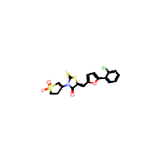 O=C1C(=Cc2ccc(-c3ccccc3Cl)o2)SC(=S)N1C1CCS(=O)(=O)C1